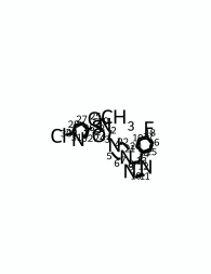 CN(CCN1CCN(c2nccnc2-c2ccc(F)cc2)CC1)S(=O)(=O)c1ccc(Cl)nc1